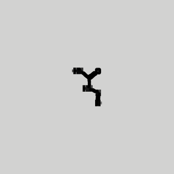 [N]=NNC([NH])=O